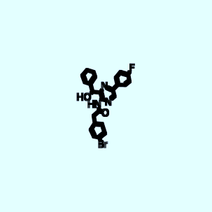 O=C(Cc1ccc(Br)cc1)Nc1ncc(-c2ccc(F)cc2)nc1C(O)C1=CCCC=C1